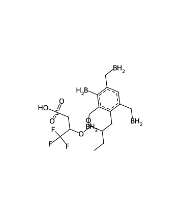 BCc1cc(CB)c(CC(CC)C(=O)OC(CS(=O)(=O)O)C(F)(F)F)c(CB)c1B